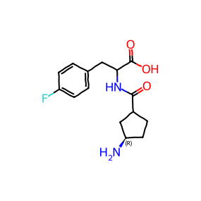 N[C@@H]1CCC(C(=O)NC(Cc2ccc(F)cc2)C(=O)O)C1